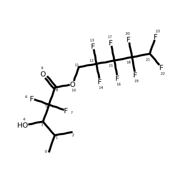 CC(C)C(O)C(F)(F)C(=O)OCC(F)(F)C(F)(F)C(F)(F)C(F)F